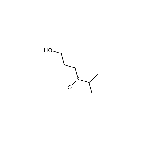 CC(C)[S+]([O-])CCCO